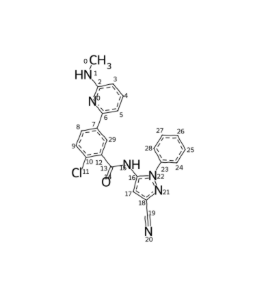 CNc1cccc(-c2ccc(Cl)c(C(=O)Nc3cc(C#N)nn3-c3ccccc3)c2)n1